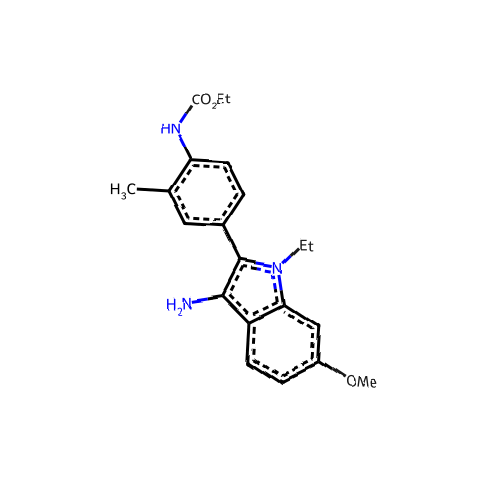 CCOC(=O)Nc1ccc(-c2c(N)c3ccc(OC)cc3n2CC)cc1C